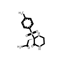 Cc1ccc(S(=O)(=O)[C@@]2(CC(N)=O)NCCNC2=O)cc1